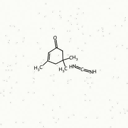 CC1=CC(=O)CC(C)(C)C1.N=C=N